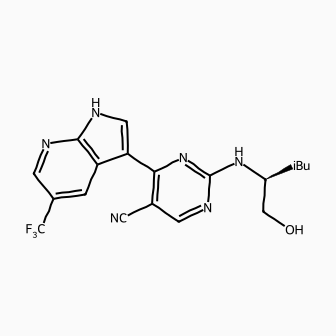 CCC(C)[C@@H](CO)Nc1ncc(C#N)c(-c2c[nH]c3ncc(C(F)(F)F)cc23)n1